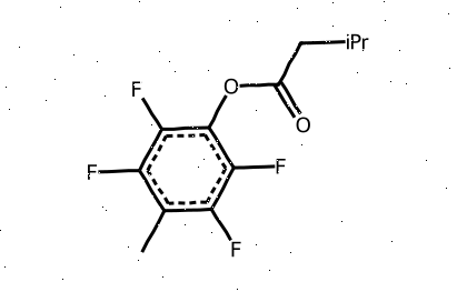 Cc1c(F)c(F)c(OC(=O)CC(C)C)c(F)c1F